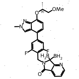 BC1(B)c2ncccc2C(=O)N1Cc1c(F)cc(-c2ccc(O[C@H](C)COC)c3nn(C)cc23)cc1F